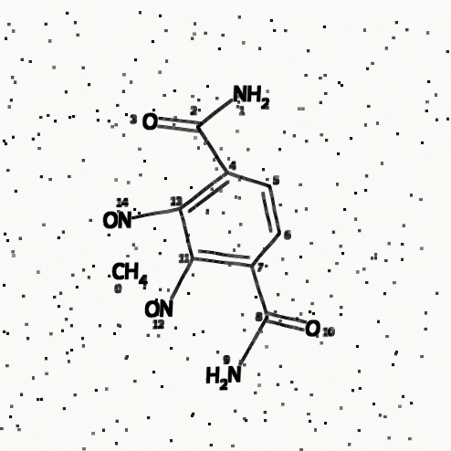 C.NC(=O)c1ccc(C(N)=O)c(N=O)c1N=O